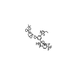 CCc1cnc(-c2cc(OC[C@H]3CN(C(=O)OC(C)(C)C)CCO3)cc(C(=O)N[C@H](C)c3ccc(C(F)(F)F)nn3)c2)s1